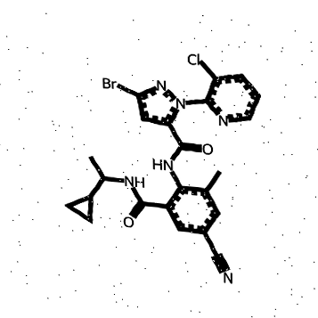 Cc1cc(C#N)cc(C(=O)NC(C)C2CC2)c1NC(=O)c1cc(Br)nn1-c1ncccc1Cl